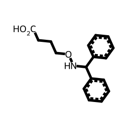 O=C(O)CCCONC(c1ccccc1)c1ccccc1